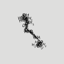 COC(=O)[C@H](CCCCNC(=O)COCCOCC(=O)NCc1cccc(COc2cc(OC)c(C(=O)O[C@H]3[C@@H](OC)O[C@H](CO)[C@@H](O)[C@@H]3O)cc2Cl)c1)NC(=O)OC(C)(C)C